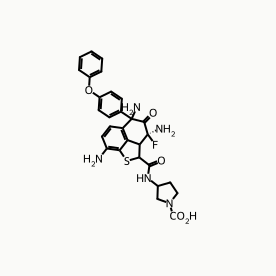 Nc1ccc2c3c1SC(C(=O)NC1CCN(C(=O)O)C1)C3[C@](N)(F)C(=O)C2(N)c1ccc(Oc2ccccc2)cc1